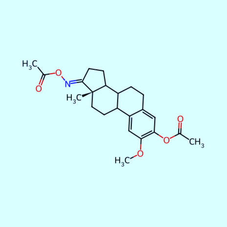 COc1cc2c(cc1OC(C)=O)CCC1C2CC[C@]2(C)/C(=N/OC(C)=O)CCC12